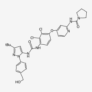 CC(C)(C)c1cc(NC(=O)Nc2ccc(Oc3ccnc(NC(=O)N4CCCC4)c3)c(Cl)c2Cl)n(-c2ccc(CO)cc2)n1